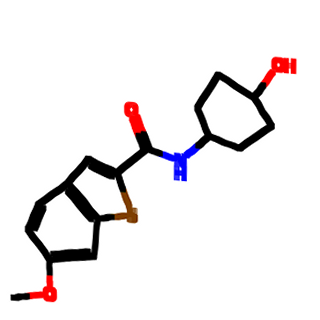 COc1ccc2cc(C(=O)NC3CCC(O)CC3)sc2c1